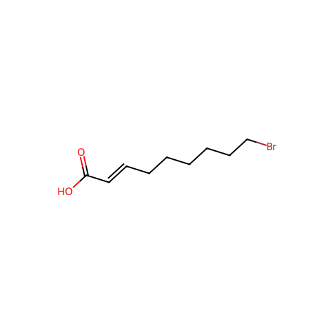 O=C(O)C=CCCCCCCBr